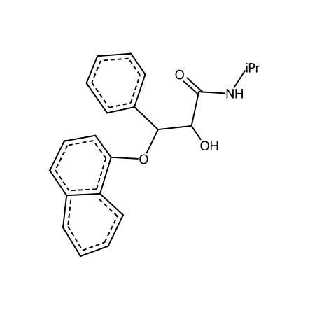 CC(C)NC(=O)C(O)C(Oc1cccc2ccccc12)c1ccccc1